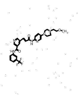 COCCN1CCN(c2ccc(NC(=O)C=Cc3cncc(C(=O)Nc4cccc(C(F)(F)F)c4)c3)nc2)CC1